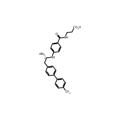 CCCC[C@@H](Cc1ccc(-c2ccc(C(F)(F)F)cc2)cc1)Nc1ccc(C(=O)NCCC(=O)O)cc1